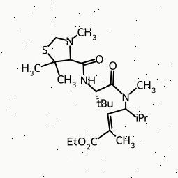 CCOC(=O)/C(C)=C/C(C(C)C)N(C)C(=O)[C@@H](NC(=O)C1N(C)CSC1(C)C)C(C)(C)C